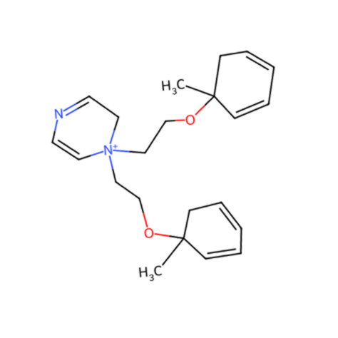 CC1(OCC[N+]2(CCOC3(C)C=CC=CC3)C=CN=CC2)C=CC=CC1